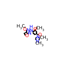 CCOc1nc(Nc2ccc(C(=O)N3CCN(C)C[C@H]3C)cc2OC)nc2occc12